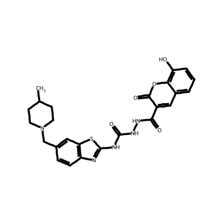 CC1CCN(Cc2ccc3nc(NC(=O)NNC(=O)c4cc5cccc(O)c5oc4=O)sc3c2)CC1